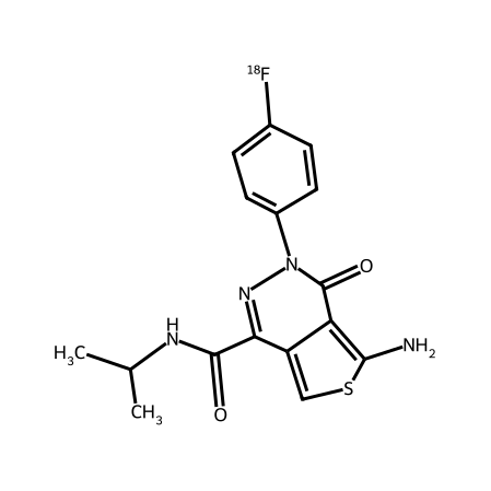 CC(C)NC(=O)c1nn(-c2ccc([18F])cc2)c(=O)c2c(N)scc12